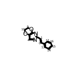 C(=Cc1ncc2c(n1)OCCO2)c1ccccc1